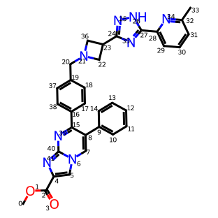 COC(=O)c1cn2cc(-c3ccccc3)c(-c3ccc(CN4CC(c5n[nH]c(-c6cccc(C)n6)n5)C4)cc3)nc2n1